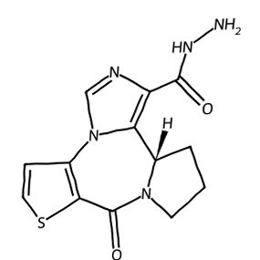 NNC(=O)c1ncn2c1[C@@H]1CCCN1C(=O)c1sccc1-2